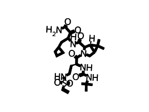 C=CS(=O)(=O)NCC[C@H](NC(=O)NC(C)(C)C)C(=O)N1CC2[C@@H](C1C(=O)NC(CC1CCC1)C(=O)C(N)=O)C2(C)C